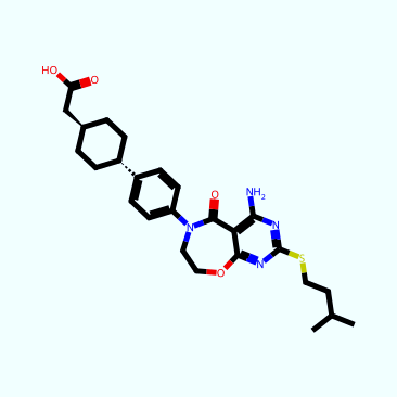 CC(C)CCSc1nc(N)c2c(n1)OCCN(c1ccc([C@H]3CC[C@H](CC(=O)O)CC3)cc1)C2=O